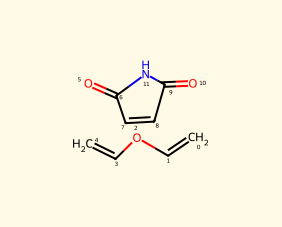 C=COC=C.O=C1C=CC(=O)N1